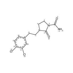 NC(=O)N1CCC(CCc2ccc(Cl)c(Cl)c2)C1=O